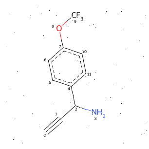 C#CC(N)c1ccc(OC(F)(F)F)cc1